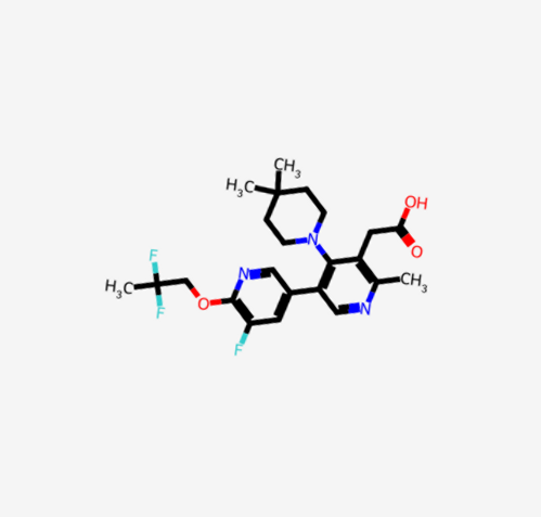 Cc1ncc(-c2cnc(OCC(C)(F)F)c(F)c2)c(N2CCC(C)(C)CC2)c1CC(=O)O